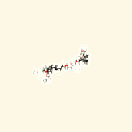 C=C(CN1CCC[C@@H](n2nc(-c3ccc(Oc4ccccc4)cc3)c3c(N)ncnc32)C1)C(=O)NCCNC(=O)CCOCCOCCNC(=O)CC1C/N=C(/c2ccc(Cl)cc2)c2c(sc(C)c2C)-n2c(C)nnc21